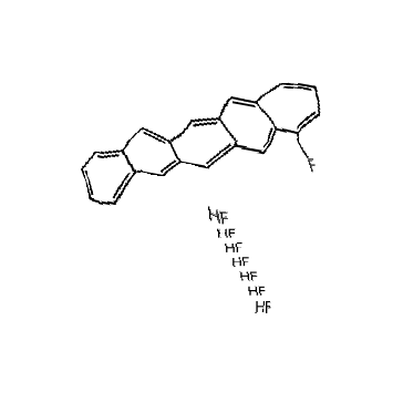 F.F.F.F.F.F.F.Fc1cccc2cc3cc4cc5ccccc5cc4cc3cc12